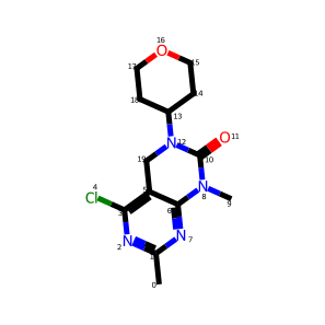 Cc1nc(Cl)c2c(n1)N(C)C(=O)N(C1CCOCC1)C2